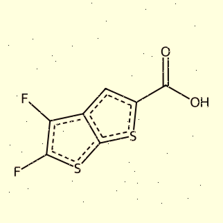 O=C(O)c1cc2c(F)c(F)sc2s1